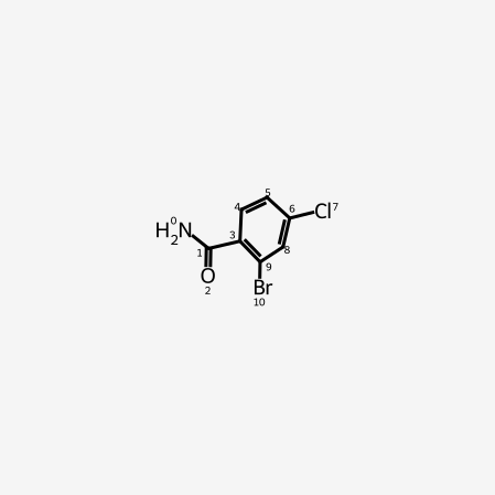 NC(=O)c1ccc(Cl)cc1Br